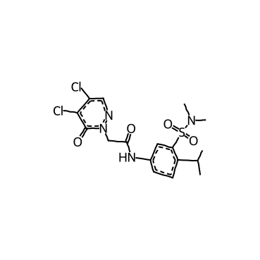 CC(C)c1ccc(NC(=O)Cn2ncc(Cl)c(Cl)c2=O)cc1S(=O)(=O)N(C)C